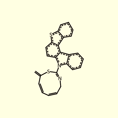 C=C1/C=C\C=C/C/N=C(/n2c3ccccc3c3c4c(ccc32)sc2ccccc24)S1